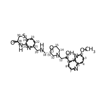 COc1ccc2nccc([C@@H](O)CN3CCO[C@@H](CNCc4ccc5c(n4)NC(=O)CS5)C3)c2n1